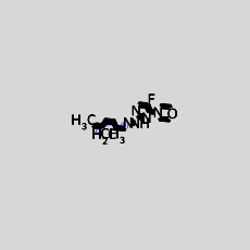 C=C(/C=C\C(C)=C/C)/C=N/Nc1ncc(F)c(N2CCOCC2)n1